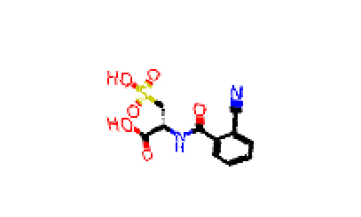 N#Cc1ccccc1C(=O)N[C@@H](CS(=O)(=O)O)C(=O)O